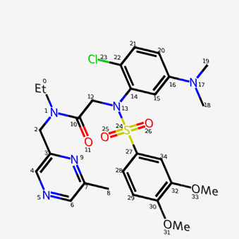 CCN(Cc1cncc(C)n1)C(=O)CN(c1cc(N(C)C)ccc1Cl)S(=O)(=O)c1ccc(OC)c(OC)c1